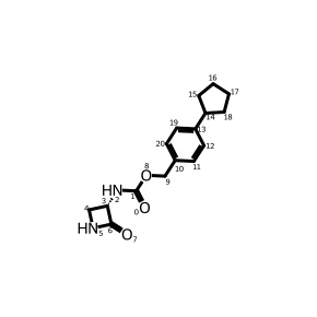 O=C(N[C@H]1CNC1=O)OCc1ccc(C2CCCC2)cc1